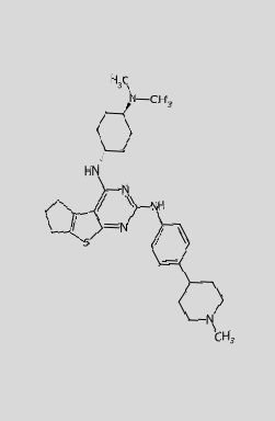 CN1CCC(c2ccc(Nc3nc(N[C@H]4CC[C@H](N(C)C)CC4)c4c5c(sc4n3)CCC5)cc2)CC1